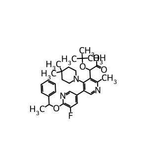 Cc1ncc(-c2cnc(OC(C)c3ccccc3)c(F)c2)c(N2CCC(C)(C)CC2)c1C(OC(C)(C)C)C(=O)O